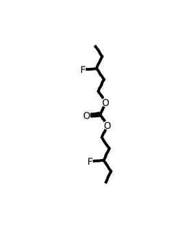 CCC(F)CCOC(=O)OCCC(F)CC